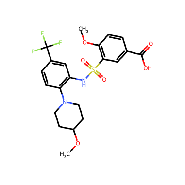 COc1ccc(C(=O)O)cc1S(=O)(=O)Nc1cc(C(F)(F)F)ccc1N1CCC(OC)CC1